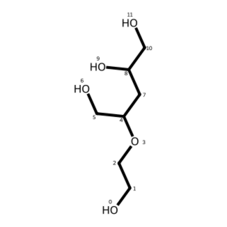 OCCOC(CO)CC(O)CO